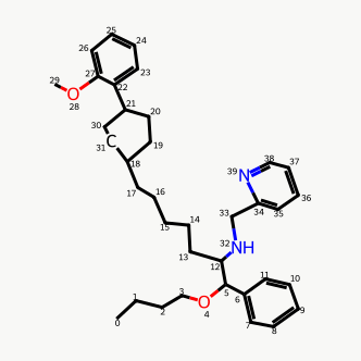 CCCCOC(c1ccccc1)C(CCCCCC1CCC(c2ccccc2OC)CC1)NCc1ccccn1